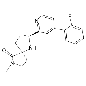 CN1CC[C@@]2(CC[C@@H](c3cc(-c4ccccc4F)ccn3)N2)C1=O